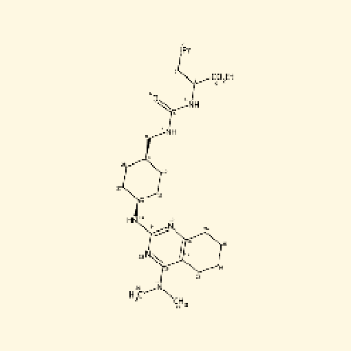 CCOC(=O)C(CC(C)C)NC(=O)NC[C@H]1CC[C@@H](Nc2nc3c(c(N(C)C)n2)CCCC3)CC1